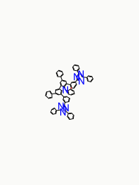 c1ccc(-c2cc(-c3cccc(-c4nc(-c5ccccc5)nc(-c5ccccc5)n4)c3)c3c(c2)c2cc(-c4ccccc4)cc(-c4cccc(-c5nc(-c6ccccc6)nc(-c6ccccc6)n5)c4)c2n3-c2ccccc2)cc1